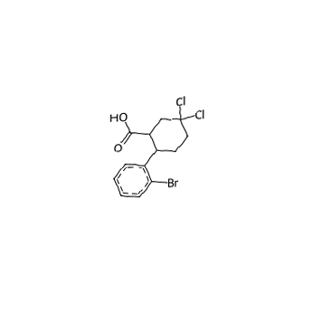 O=C(O)C1CC(Cl)(Cl)CCC1c1ccccc1Br